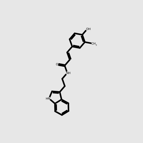 Cc1cc(/C=C/C(=O)NCCc2c[nH]c3ccccc23)ccc1O